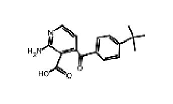 CC(C)(C)c1ccc(C(=O)c2ccnc(N)c2C(=O)O)cc1